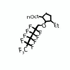 [CH2]CC1C[CH]C(CCCCCCCC)C1OCC(F)(F)C(F)(F)C(F)(F)C(F)(F)C(F)(F)F